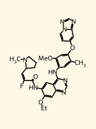 CCOc1cc2ncnc(Nc3cc(C)c(Oc4ccn5ncnc5c4)cc3OC)c2cc1NC(=O)/C(F)=C\C1CCCN1C